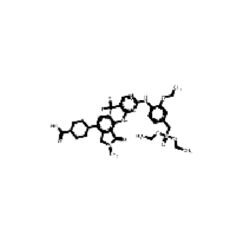 CCOc1cc(CP(=O)(OCC)OCC)ccc1Nc1ncc(C(F)(F)F)c(Nc2ccc(C3CCC(C(=O)O)CC3)c3c2C(=O)N(C)C3)n1